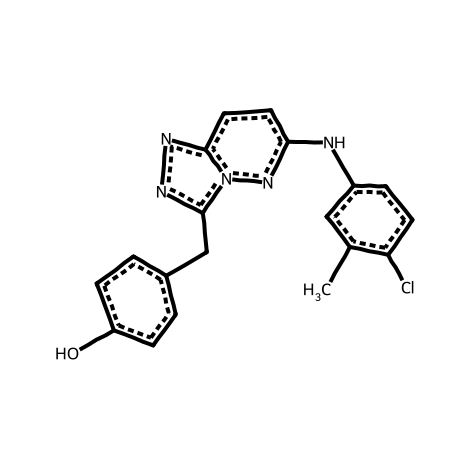 Cc1cc(Nc2ccc3nnc(Cc4ccc(O)cc4)n3n2)ccc1Cl